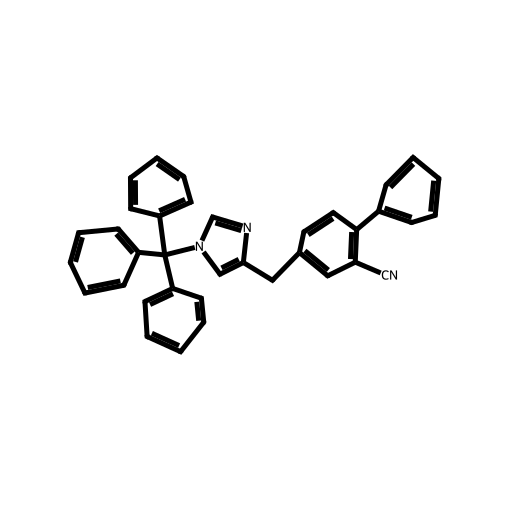 N#Cc1cc(Cc2cn(C(c3ccccc3)(c3ccccc3)c3ccccc3)cn2)ccc1-c1ccccc1